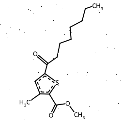 CCCCCCCC(=O)c1cc(C)c(C(=O)OC)s1